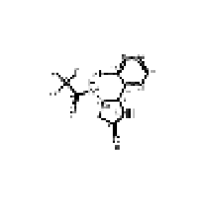 CC(F)(F)C(=O)N[C@H]1CC(=O)NC1c1ccccc1F